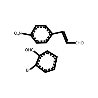 O=CC=Cc1ccc([N+](=O)[O-])cc1.O=Cc1ccccc1Br